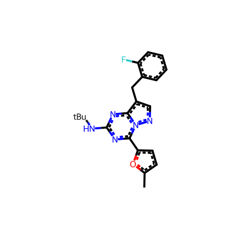 Cc1ccc(-c2nc(NC(C)(C)C)nc3c(Cc4ccccc4F)cnn23)o1